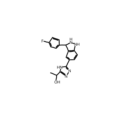 CC(O)c1nnc(-c2ccc3c(c2)C(c2ccc(F)cc2)NN3)[nH]1